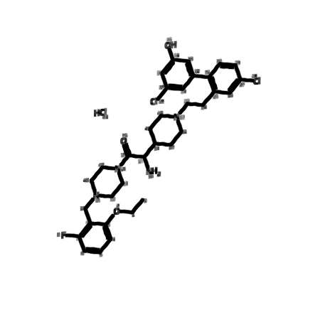 CCOc1cccc(F)c1CN1CCN(C(=O)C(N)C2CCN(CCc3cc(Cl)ccc3-c3cc(O)cc(Cl)c3)CC2)CC1.Cl